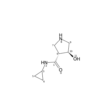 O=C(NC1CC1)[C@@H]1CNC[C@H]1O